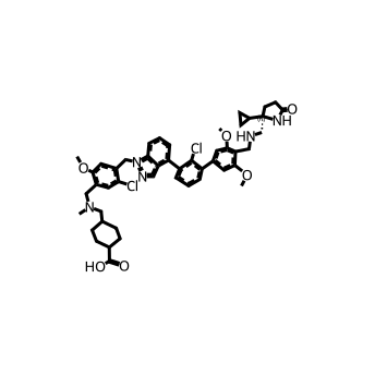 COc1cc(Cn2ncc3c(-c4cccc(-c5cc(OC)c(CNC[C@]6(C7CC7)CCC(=O)N6)c(OC)c5)c4Cl)cccc32)c(Cl)cc1CN(C)CC1CCC(C(=O)O)CC1